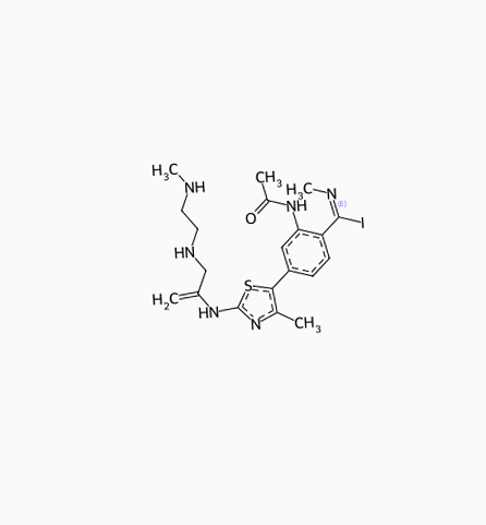 C=C(CNCCNC)Nc1nc(C)c(-c2ccc(/C(I)=N\C)c(NC(C)=O)c2)s1